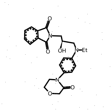 CCN(C[C@@H](O)CN1C(=O)c2ccccc2C1=O)c1ccc(N2CCOCC2=O)cc1